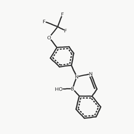 OB1c2ccccc2C=NN1c1ccc(OC(F)(F)F)cc1